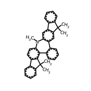 CN1c2cc3c(cc2-c2ccccc2-c2c1ccc1c2C(C)(C)c2ccccc2-1)C(C)(C)c1ccccc1-3